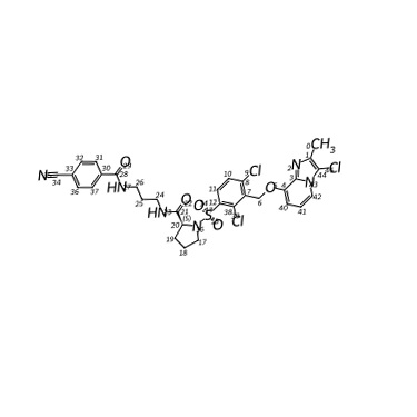 Cc1nc2c(OCc3c(Cl)ccc(S(=O)(=O)N4CCC[C@H]4C(=O)NCCCNC(=O)c4ccc(C#N)cc4)c3Cl)cccn2c1Cl